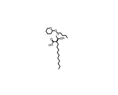 CCCCCCCCCCC(C(=O)O)=C(O)C[C@@H](CCCC)OC1CCCCO1